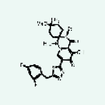 CCN1C(=O)c2c(O)c(=O)c(-c3nnc(Cc4ccc(F)cc4F)s3)cn2N(C)C12CCC(C)(OC)CC2